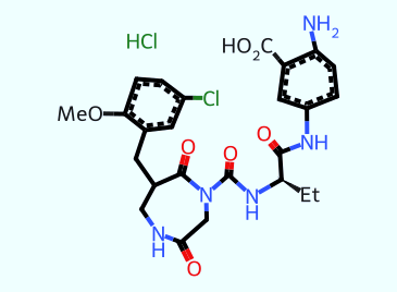 CC[C@@H](NC(=O)N1CC(=O)NCC(Cc2cc(Cl)ccc2OC)C1=O)C(=O)Nc1ccc(N)c(C(=O)O)c1.Cl